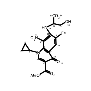 COC(=O)c1cn(C2CC2)c2c([N+](=O)[O-])c(NC(CO)C(=O)O)c(F)cc2c1=O